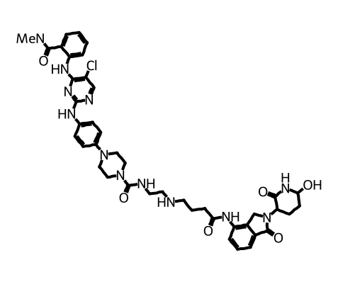 CNC(=O)c1ccccc1Nc1nc(Nc2ccc(N3CCN(C(=O)NCCNCCCC(=O)Nc4cccc5c4CN(C4CCC(O)NC4=O)C5=O)CC3)cc2)ncc1Cl